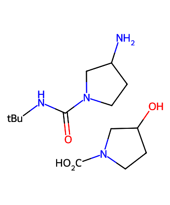 CC(C)(C)NC(=O)N1CCC(N)C1.O=C(O)N1CCC(O)C1